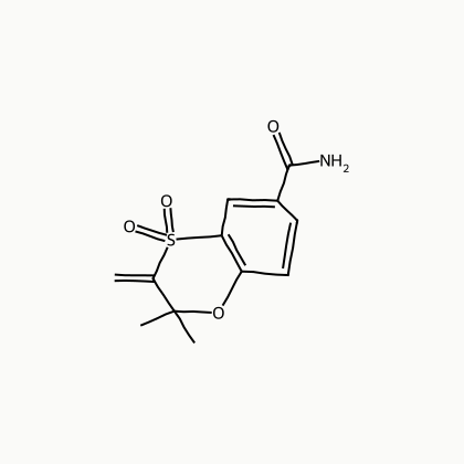 C=C1C(C)(C)Oc2ccc(C(N)=O)cc2S1(=O)=O